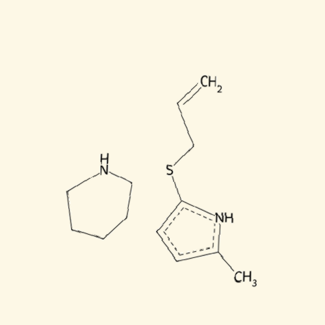 C1CCNCC1.C=CCSc1ccc(C)[nH]1